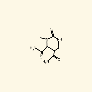 CN1C(=O)NC[C](C(N)=O)C1C(N)=O